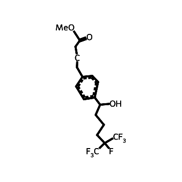 COC(=O)CCCc1ccc(C(O)CCCC(F)(C(F)(F)F)C(F)(F)F)cc1